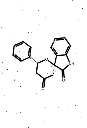 O=C1C[C@H](c2ccccc2)O[C@]2(C1)C(=O)Nc1ccccc12